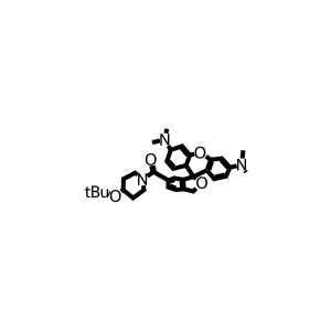 CN(C)c1ccc2c(c1)OC1=CC(N(C)C)C=CC1C21OCc2ccc(C(=O)N3CCC(OC(C)(C)C)CC3)cc21